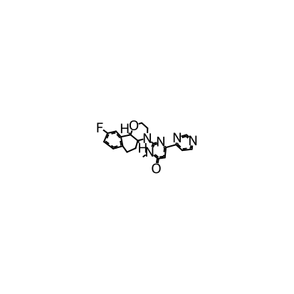 Cn1c(N2CCO[C@H]3c4cc(F)ccc4CC[C@H]32)nc(-c2ccncn2)cc1=O